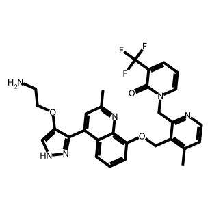 Cc1cc(-c2n[nH]cc2OCCN)c2cccc(OCc3c(C)ccnc3Cn3cccc(C(F)(F)F)c3=O)c2n1